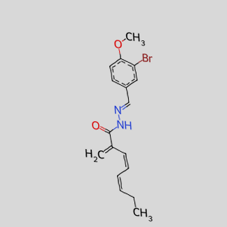 C=C(/C=C\C=C/CC)C(=O)N/N=C/c1ccc(OC)c(Br)c1